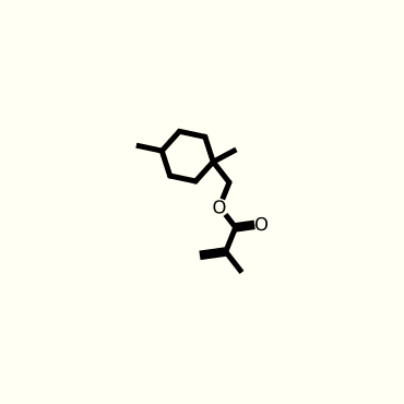 C=C(C)C(=O)OCC1(C)CCC(C)CC1